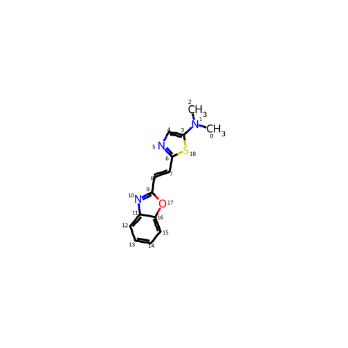 CN(C)c1cnc(C=Cc2nc3ccccc3o2)s1